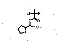 CCC(C)(CC)C(=O)OC(OC)C1CCCC1